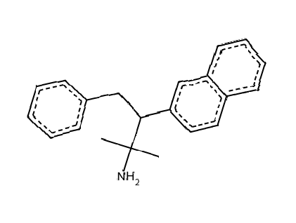 CC(C)(N)C(Cc1ccccc1)c1ccc2ccccc2c1